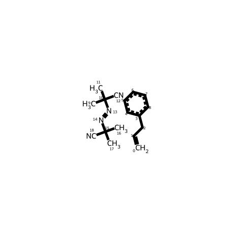 C=CCc1ccccc1.CC(C)(C#N)N=NC(C)(C)C#N